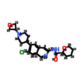 O=C(Nc1cc2cc(C3CCN(C4COC4)CC3)c(Cl)cc2cn1)[C@@H]1CCCCO1